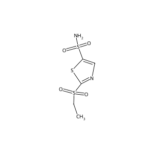 CCS(=O)(=O)c1ncc(S(N)(=O)=O)s1